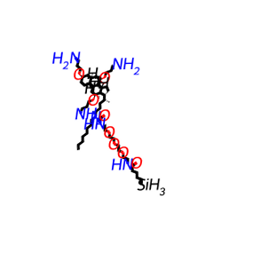 CCCCCCCCN(CCC[C@@H](C)[C@H]1CC[C@H]2[C@@H]3[C@H](OCCCN)C[C@@H]4C[C@H](OCCCN)CC[C@]4(C)[C@H]3C[C@H](OCCCN)[C@]12C)C(=O)NCCOCCOCCOCCNC(=O)CCCC[SiH3]